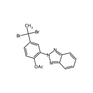 CC(=O)Oc1ccc(C(C)(Br)Br)cc1-n1nc2ccccc2n1